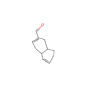 O=CC1=CCC2C=CCCC2C1